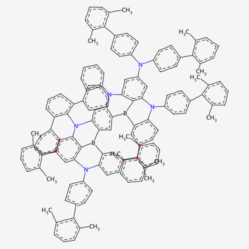 Cc1cccc(C)c1-c1ccc(N(c2ccc(-c3c(C)cccc3C)cc2)c2cc3c4c(c2)N(c2ccccc2)c2cc5c(cc2B4c2cc(-c4c(C)cccc4C)ccc2N3c2ccc(-c3c(C)cccc3C)cc2)B2c3cc(-c4c(C)cccc4C)ccc3N(c3ccc(-c4c(C)cccc4C)cc3)c3cc(-c4c(C)cccc4C)cc(c32)N5c2c(-c3ccccc3)cccc2-c2ccccc2)cc1